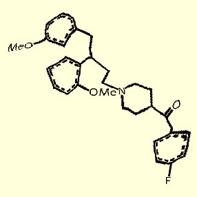 COc1cccc(CC(CCN2CCC(C(=O)c3ccc(F)cc3)CC2)c2ccccc2OC)c1